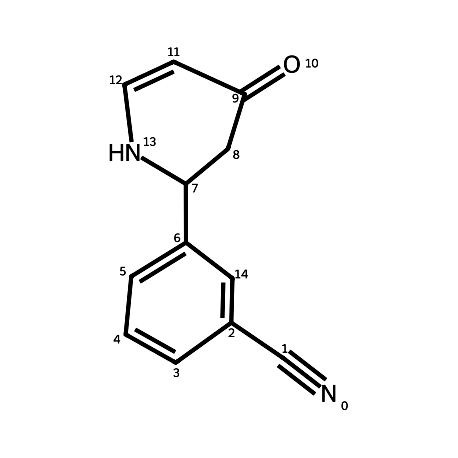 N#Cc1cccc(C2CC(=O)C=CN2)c1